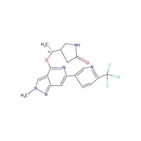 C[C@@H](Oc1nc(-c2ccc(C(F)(F)F)nc2)cc2nn(C)cc12)C1CNC(=O)C1